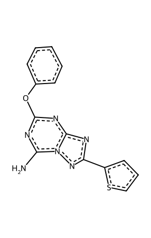 Nc1nc(Oc2ccccc2)nc2nc(-c3cccs3)nn12